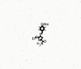 CCOC1=N[C@H](C(N)=O)CC1SCc1ccc(OC)cc1